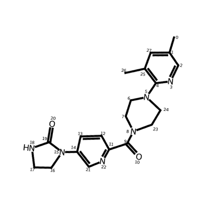 Cc1cnc(N2CCN(C(=O)c3ccc(N4CCNC4=O)cn3)CC2)c(C)c1